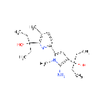 CCC(O)(CC)c1cc(-c2ccc(C)c(C(O)(CC)CC)n2)n(C)c1N